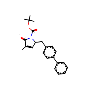 CC1=CC(Cc2ccc(-c3ccccc3)cc2)N(C(=O)OC(C)(C)C)C1=O